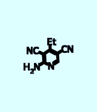 CCc1c(C#N)cnc(N)c1C#N